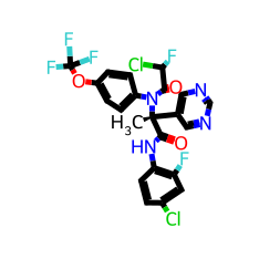 C[C@](C(=O)Nc1ccc(Cl)cc1F)(c1cncnc1)N(C(=O)C(F)Cl)c1ccc(OC(F)(F)F)cc1